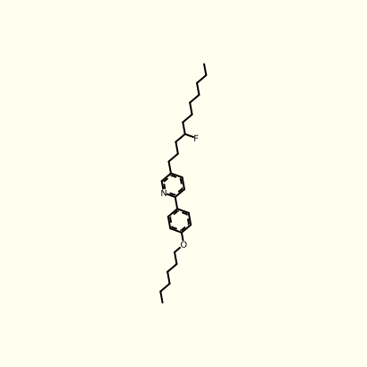 CCCCCCCC(F)CCCc1ccc(-c2ccc(OCCCCCC)cc2)nc1